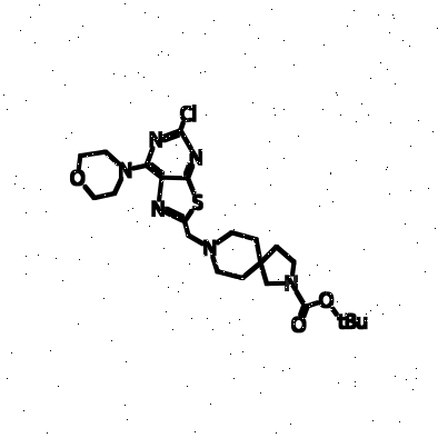 CC(C)(C)OC(=O)N1CCC2(CCN(Cc3nc4c(N5CCOCC5)nc(Cl)nc4s3)CC2)C1